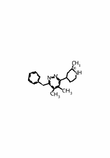 Cc1c(Cc2ccccc2)nnc(C2CCN[C@H](C)C2)c1C